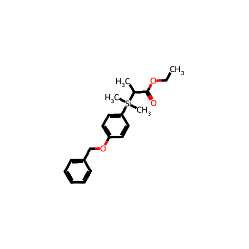 CCOC(=O)C(C)[Si](C)(C)c1ccc(OCc2ccccc2)cc1